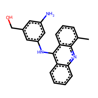 Cc1cccc2c(Nc3cc(N)cc(CO)c3)c3ccccc3nc12